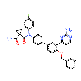 Cc1cc(N(C(=O)C2(C(N)=O)CC2)c2ccc(F)cc2)ccc1-c1ccc(OCc2ccccc2)c(-c2ccnc(N)n2)c1